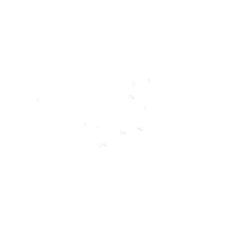 CCCC1CC(=O)N(Cc2c(-c3ccc(Cl)cc3)nc3ccc(Cl)nn23)C1